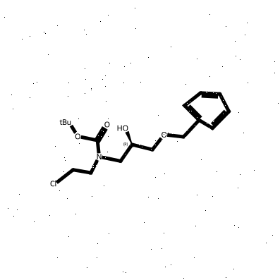 CC(C)(C)OC(=O)N(CCCl)C[C@@H](O)COCc1ccccc1